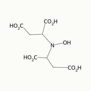 O=C(O)CC(C(=O)O)N(O)C(CC(=O)O)C(=O)O